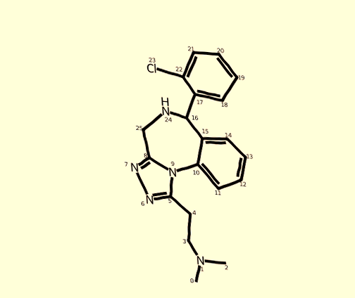 CN(C)CCc1nnc2n1-c1ccccc1C(c1ccccc1Cl)NC2